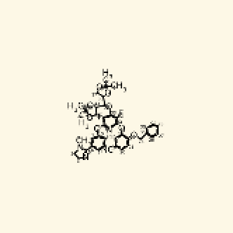 CN1CCN=C1c1cccc(Oc2nc(Oc3cc(C#N)ccc3OCc3ccccc3)c(F)c(OC(C3COC(C)(C)O3)C3COC(C)(C)O3)c2F)c1